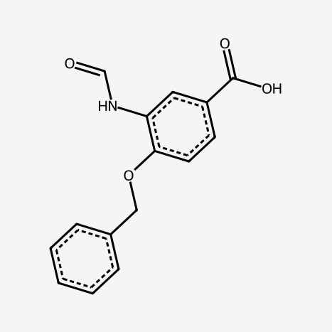 O=CNc1cc(C(=O)O)ccc1OCc1ccccc1